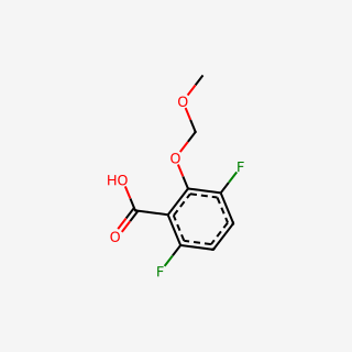 COCOc1c(F)ccc(F)c1C(=O)O